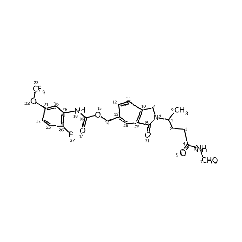 CC(CCC(=O)NC=O)N1Cc2ccc(COC(=O)Nc3cc(OC(F)(F)F)ccc3F)cc2C1=O